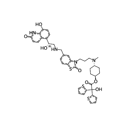 CN(CCCn1c(=O)sc2ccc(CNC[C@H](O)c3ccc(O)c4[nH]c(=O)ccc34)cc21)[C@H]1CC[C@H](OC(=O)C(O)(c2cccs2)c2cccs2)CC1